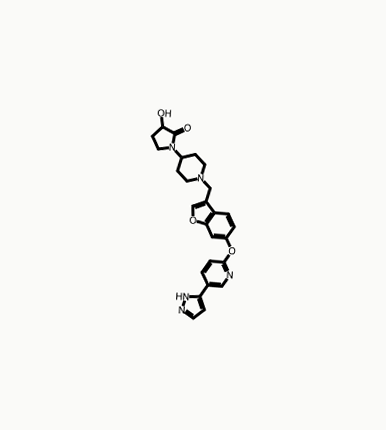 O=C1C(O)CCN1C1CCN(Cc2coc3cc(Oc4ccc(-c5ccn[nH]5)cn4)ccc23)CC1